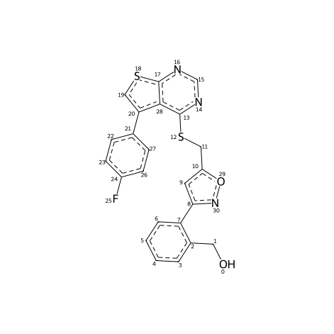 OCc1ccccc1-c1cc(CSc2ncnc3scc(-c4ccc(F)cc4)c23)on1